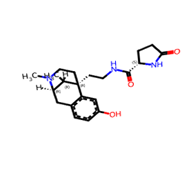 C[C@H]1[C@H]2Cc3ccc(O)cc3[C@]1(CCNC(=O)[C@@H]1CCC(=O)N1)CCN2C